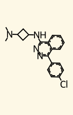 CN(C)C1CC(Nc2nnc(-c3ccc(Cl)cc3)c3ccccc23)C1